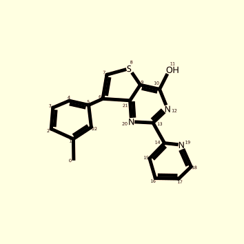 Cc1cccc(-c2csc3c(O)nc(-c4ccccn4)nc23)c1